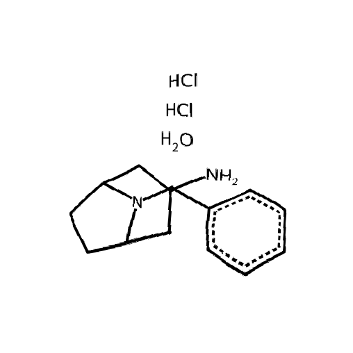 Cl.Cl.NC1CC2CCC(C1)N2Cc1ccccc1.O